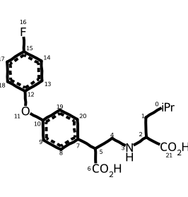 CC(C)CC(NCC(C(=O)O)c1ccc(Oc2ccc(F)cc2)cc1)C(=O)O